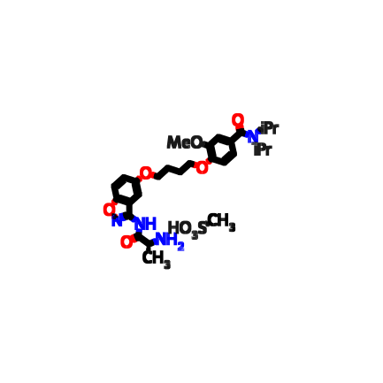 COc1cc(C(=O)N(C(C)C)C(C)C)ccc1OCCCCOc1ccc2onc(NC(=O)[C@H](C)N)c2c1.CS(=O)(=O)O